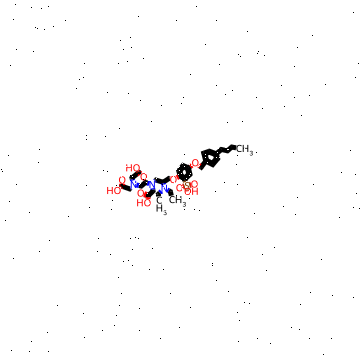 CCCCc1ccc(COc2ccc(OCC(CN(CCN(CC(=O)O)CC(=O)O)CC(=O)O)N(CC)CC)c(S(=O)(=O)O)c2)cc1